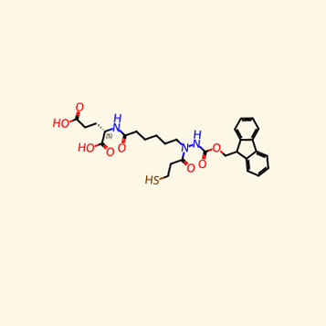 O=C(O)CC[C@H](NC(=O)CCCCCN(NC(=O)OCC1c2ccccc2-c2ccccc21)C(=O)CCS)C(=O)O